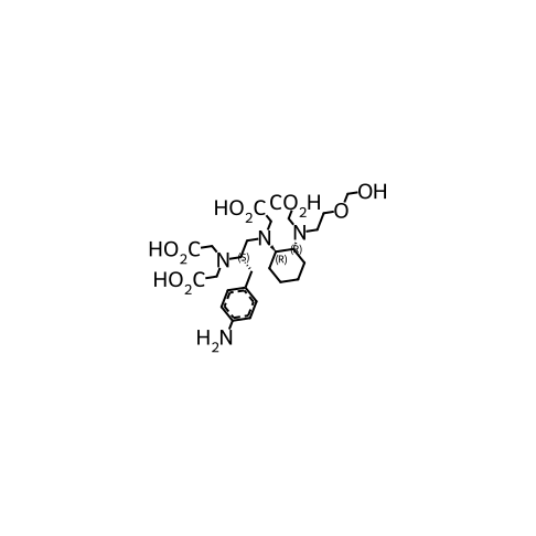 Nc1ccc(C[C@@H](CN(CC(=O)O)[C@@H]2CCCC[C@H]2N(CCOCO)CC(=O)O)N(CC(=O)O)CC(=O)O)cc1